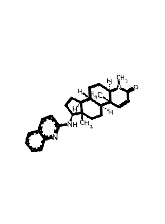 CN1C(=O)C=C[C@]2(C)[C@H]3CC[C@]4(C)[C@@H](Nc5ccc6ccccc6n5)CC[C@H]4[C@@H]3CC[C@@H]12